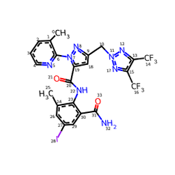 Cc1cccnc1-n1nc(Cn2nc(C(F)(F)F)c(C(F)(F)F)n2)cc1C(=O)Nc1c(C)cc(I)cc1C(N)=O